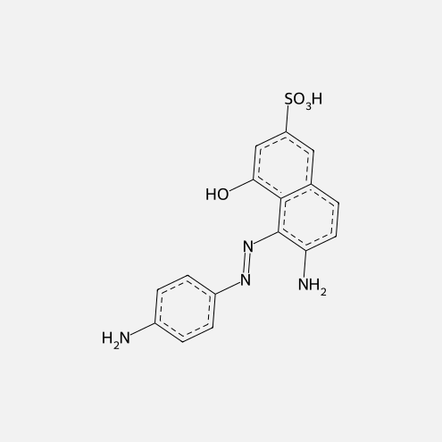 Nc1ccc(N=Nc2c(N)ccc3cc(S(=O)(=O)O)cc(O)c23)cc1